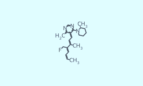 C=c1ncnc(N2CCCC[C@@H]2C)/c1=C/C=C(C)/C(=C/C=C\C)CF